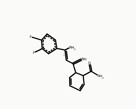 N=C(/C=C(\N)c1ccc(F)c(F)c1)C1C=CC=CC1C(N)=O